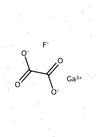 O=C([O-])C(=O)[O-].[F-].[Ga+3]